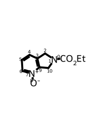 CCOC(=O)N1Cc2ccc[n+]([O-])c2C1